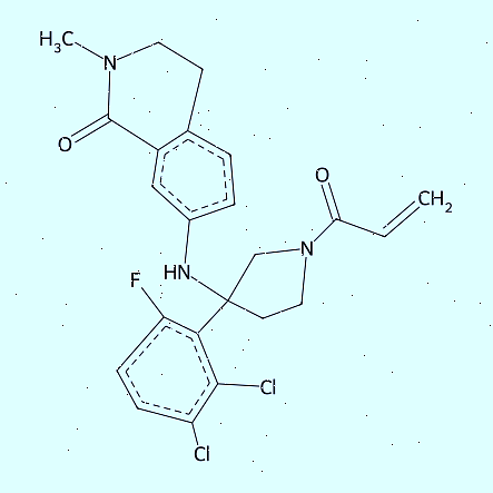 C=CC(=O)N1CCC(Nc2ccc3c(c2)C(=O)N(C)CC3)(c2c(F)ccc(Cl)c2Cl)C1